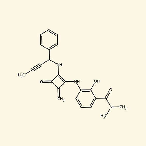 C=C1C(=O)C(NC(C#CC)c2ccccc2)=C1Nc1cccc(C(=O)N(C)C)c1O